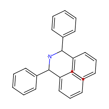 c1ccc(C([N]C(c2ccccc2)c2ccccc2)c2ccccc2)cc1